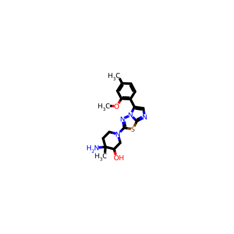 COc1cc(C)ccc1-c1cnc2sc(N3CCC(C)(N)C(O)C3)nn12